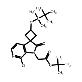 CC(C)(C)OC(=O)CN1C(=O)C2(CC(O[Si](C)(C)C(C)(C)C)C2)c2ccnc(Cl)c21